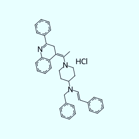 CC(=C1CC(c2ccccc2)=Nc2ccccc21)N1CCC(N(C=Cc2ccccc2)Cc2ccccc2)CC1.Cl